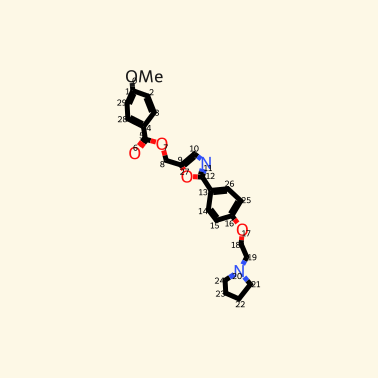 COc1ccc(C(=O)OCc2cnc(-c3ccc(OCCN4CCCC4)cc3)o2)cc1